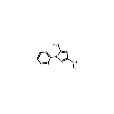 CCNc1nc(N)n(-c2ccccn2)n1